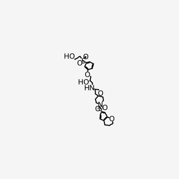 O=S(=O)(CCO)c1cccc(OC[C@@H](O)CN[C@H]2COC3(CCN(S(=O)(=O)c4ccc5c(c4)OCCC5)CC3)C2)c1